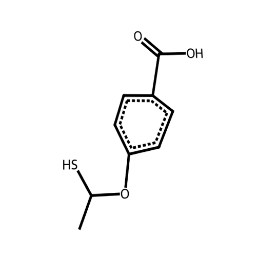 CC(S)Oc1ccc(C(=O)O)cc1